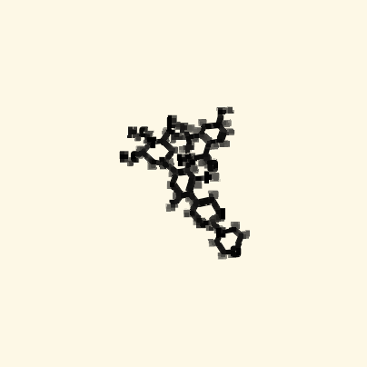 CC1CN(c2cc(F)c(-c3cnc(N4CCOCC4)nc3)c(F)c2NC(=O)c2ccc(F)cc2C(F)(F)F)CC(C)N1C